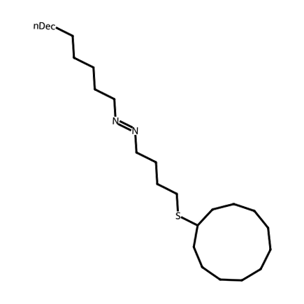 CCCCCCCCCCCCCCC/N=N/CCCCSC1CCCCCCCCCC1